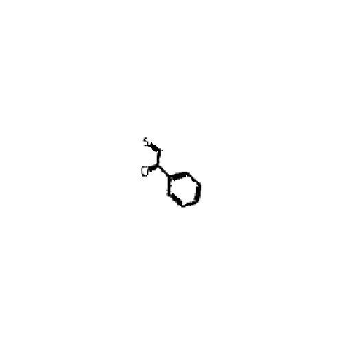 O=C([C]=S)c1ccccc1